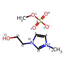 COS(=O)(=O)[O-].C[n+]1ccn(CCO)c1